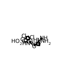 N=C(N)Nc1cccc(C(=O)NCC(=O)NC(CC(=O)O)c2cc(Cl)cc(Cl)c2Cl)c1